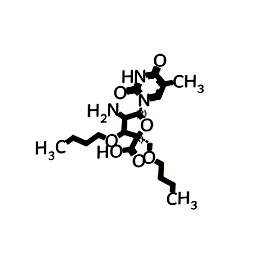 CCCCOC[C@@]1(C(=O)O)O[C@@H](n2cc(C)c(=O)[nH]c2=O)C(N)C1OCCCC